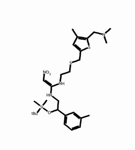 Cc1cccc(C(CNC(=C[N+](=O)[O-])NCCSCc2cc(C)c(CN(C)C)s2)O[Si](C)(C)C(C)(C)C)c1